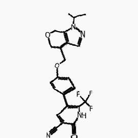 CC(C)n1ncc2c1COCC2COc1ccc(-c2cc(C#N)c(=O)[nH]c2C(F)(F)F)cc1